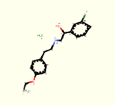 Cl.O=C(O)COc1ccc(CCNCC(O)c2cccc(Cl)c2)cc1